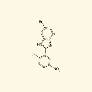 O=[N+]([O-])c1ccc(Cl)c(-c2nc3ncc(Br)cc3[nH]2)c1